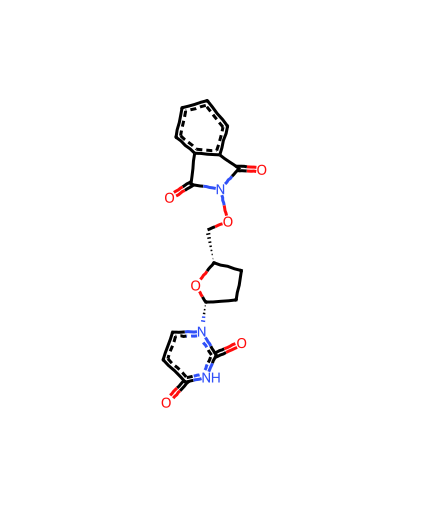 O=C1c2ccccc2C(=O)N1OC[C@@H]1CC[C@H](n2ccc(=O)[nH]c2=O)O1